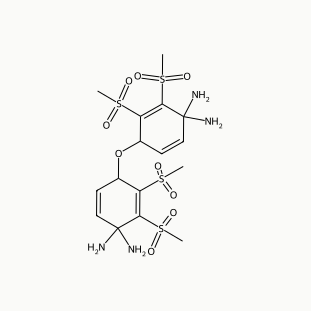 CS(=O)(=O)C1=C(S(C)(=O)=O)C(N)(N)C=CC1OC1C=CC(N)(N)C(S(C)(=O)=O)=C1S(C)(=O)=O